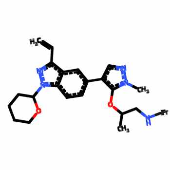 C=Cc1nn(C2CCCCO2)c2ccc(-c3cnn(C)c3OC(C)CNC(C)C)cc12